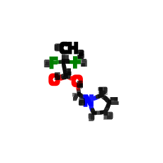 CC(F)(F)C(=O)OCN1CCCC1